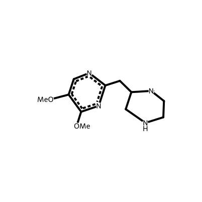 COc1cnc(CC2CNCC[N]2)nc1OC